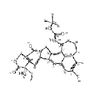 CC[C@@]1(O)C(=O)OCc2c1cc1n(c2=O)Cc2c-1nc1cc(F)c(C)c3c1c2N(NC(=O)OC(C)(C)C)CCC3